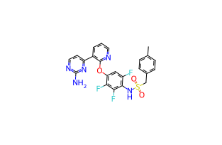 Cc1ccc(CS(=O)(=O)Nc2c(F)cc(Oc3ncccc3-c3ccnc(N)n3)c(F)c2F)cc1